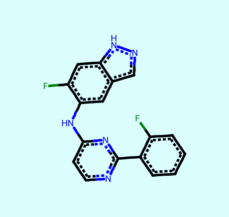 Fc1cc2[nH]ncc2cc1Nc1ccnc(-c2ccccc2F)n1